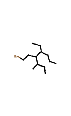 CCCC(CC)C(CCBr)C(C)CC